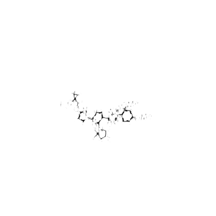 COc1ccc(S(=O)(=O)N(C)C(=O)c2ccc(-n3ccc(OCC4(C(F)(F)F)CC4)n3)nc2N2C[C@@H](C)CC2(C)C)c(OC)c1